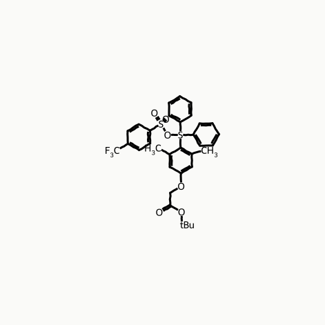 Cc1cc(OCC(=O)OC(C)(C)C)cc(C)c1S(OS(=O)(=O)c1ccc(C(F)(F)F)cc1)(c1ccccc1)c1ccccc1